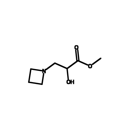 COC(=O)C(O)CN1CCC1